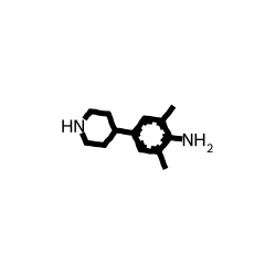 Cc1cc(C2CCNCC2)cc(C)c1N